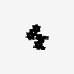 O=S(=O)(O)C(CCN1c2ccccc2Sc2ccccc21)c1cccc(Br)n1